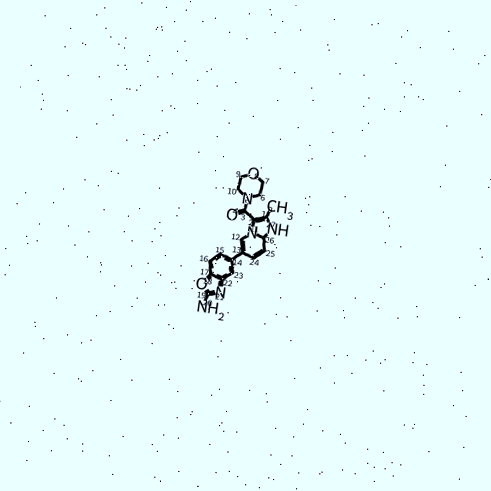 CC1=C(C(=O)N2CCOCC2)N2C=C(c3ccc4oc(N)nc4c3)C=CC2N1